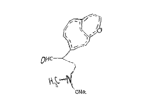 CON(C)CC(C=O)c1ccc2ccoc2c1